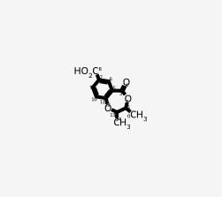 CC1OC(=O)c2cc(C(=O)O)ccc2OC1C